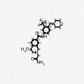 C[C@H]1CN(CC(N)=O)Cc2cc(C(=O)Nc3ccc(CN4CCOCC4)c(C(F)(F)F)c3)ccc21